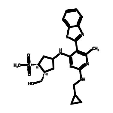 Cc1nc(NCC2CC2)nc(NC2C[C@H](CO)[C@H](S(C)(=O)=O)C2)c1-c1nc2ccccc2s1